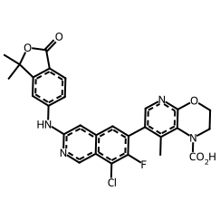 Cc1c(-c2cc3cc(Nc4ccc5c(c4)C(C)(C)OC5=O)ncc3c(Cl)c2F)cnc2c1N(C(=O)O)CCO2